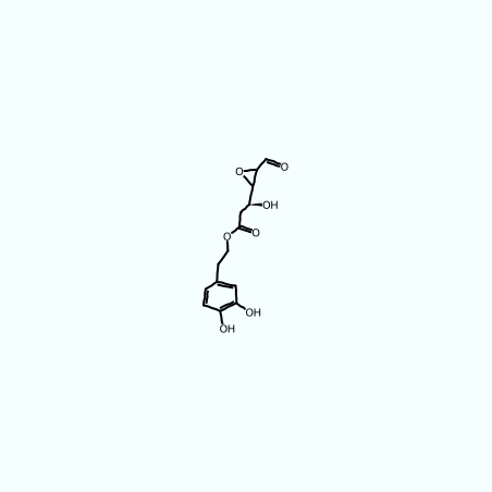 O=CC1OC1[C@@H](O)CC(=O)OCCc1ccc(O)c(O)c1